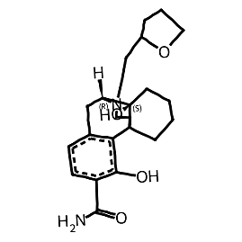 NC(=O)c1ccc2c(c1O)C13CCCC[C@@]1(O)[C@@H](C2)N(CC1CCCO1)CC3